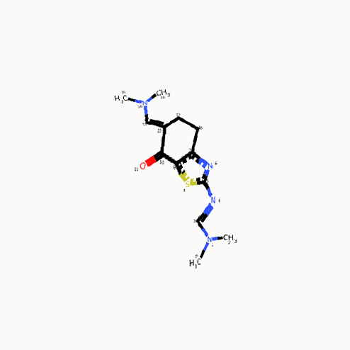 CN(C)C=Nc1nc2c(s1)C(=O)/C(=C/N(C)C)CC2